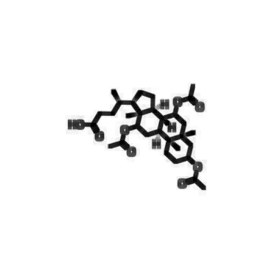 CC(=O)OC1CC[C@]2(C)[C@H]3CC(OC(C)=O)[C@]4(C)[C@@H]([C@H](C)CCC(=O)O)CC[C@H]4[C@@H]3C(OC(C)=O)C[C@]2(C)C1